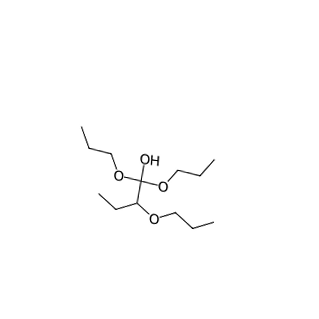 CCCOC(CC)C(O)(OCCC)OCCC